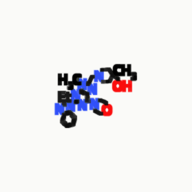 CCc1nc2ccccc2n1-c1nc(N2CCOCC2)c2nc(CN3CCC(C)(CO)CC3)n(C)c2n1